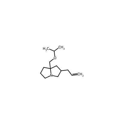 C=CCC1CN2CCCC2(COC(C)C)C1